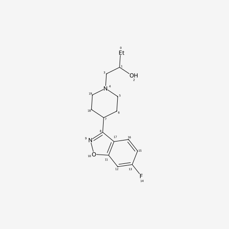 CCC(O)CN1CCC(c2noc3cc(F)ccc23)CC1